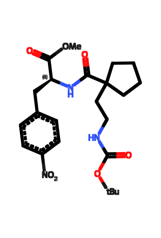 COC(=O)[C@H](Cc1ccc([N+](=O)[O-])cc1)NC(=O)C1(CCNC(=O)OC(C)(C)C)CCCC1